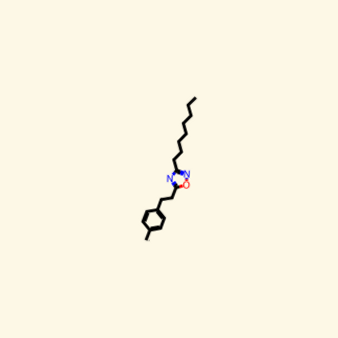 [CH2]c1ccc(CCc2nc(CCCCCCCC)no2)cc1